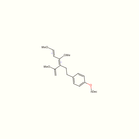 C=C(OC)/C(CCc1ccc(OCCCCCCCCCC)cc1)=C(\C=C\OC)OC